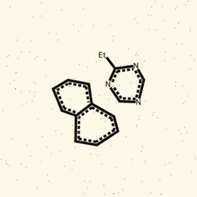 CCc1ncncn1.c1ccc2ccccc2c1